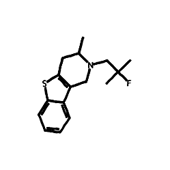 CC1Cc2sc3ccccc3c2CN1CC(C)(C)F